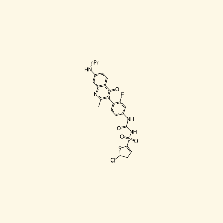 CCCNc1ccc2c(=O)n(-c3ccc(NC(=O)NS(=O)(=O)C4=CCC(Cl)S4)cc3F)c(C)nc2c1